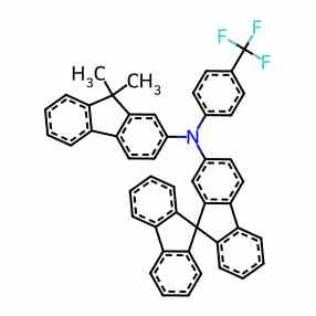 CC1(C)c2ccccc2-c2ccc(N(c3ccc(C(F)(F)F)cc3)c3ccc4c(c3)C3(c5ccccc5-c5ccccc53)c3ccccc3-4)cc21